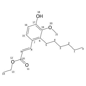 CCCCCCc1c(C=CC(=O)OCC)ccc(O)c1OC